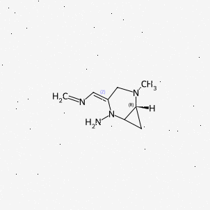 C=N/C=C1/CN(C)[C@@H]2CC2N1N